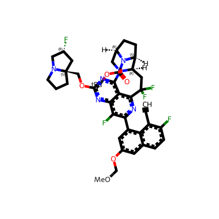 C#Cc1c(F)ccc2cc(OCOC)cc(-c3nc4c5c(nc(OC[C@@]67CCCN6C[C@H](F)C7)nc5c3F)N3C[C@H]5CC[C@@H]([C@H]3CC4(F)F)N5C(=O)OC(C)(C)C)c12